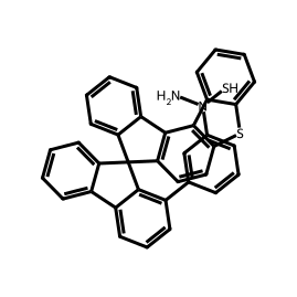 NN(S)c1cccc(-c2cccc3c2C2(c4ccccc4-3)c3ccccc3-c3c2ccc2sc4ccccc4c32)c1